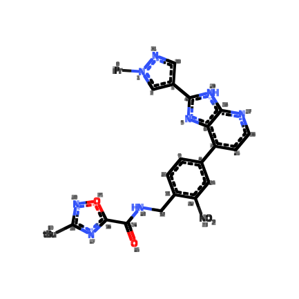 CC(C)n1cc(-c2nc3c(-c4ccc(CNC(=O)c5nc(C(C)(C)C)no5)c([N+](=O)[O-])c4)ccnc3[nH]2)cn1